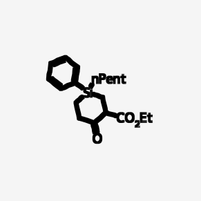 CCCCC[Si]1(c2ccccc2)CCC(=O)C(C(=O)OCC)C1